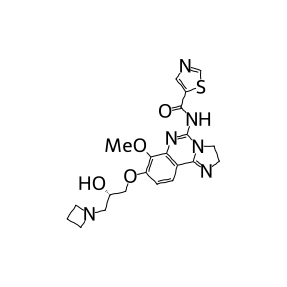 COc1c(OC[C@@H](O)CN2CCC2)ccc2c1N=C(NC(=O)c1cncs1)N1CCN=C21